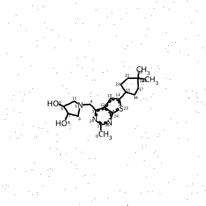 Cc1nc(CN2CC(O)C(O)C2)c2cc(C3CCC(C)(C)CC3)sc2n1